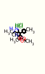 CCOP(=O)(Cc1c(C)nc(CC(C)C)c(CN)c1-c1ccc(C)cc1)OCC.Cl.Cl